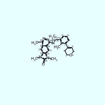 Cc1c(C2=CCOCC2)cccc1[C@@H](C)Nc1nnc(C)c2cc3c(cc12)n(C)c(=O)n3C